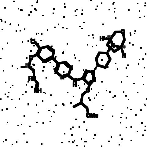 COCC(C)COc1nn([C@H]2CC[C@H](N3[C@@H]4CC[C@H]3COC4)CC2)cc1Nc1ncc(-c2ccc(Cl)c(O[C@@H](C)CNC=N)c2)cn1